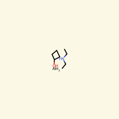 CCNCC.OC1CCC1.[AlH3]